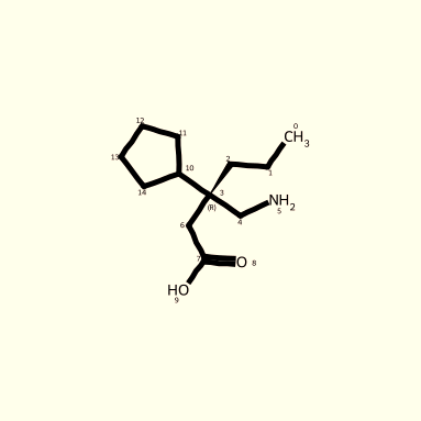 CCC[C@@](CN)(CC(=O)O)C1CCCC1